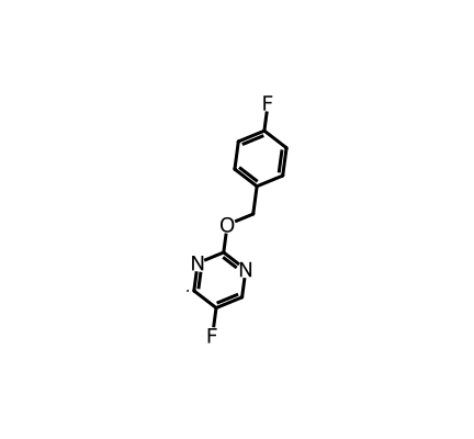 Fc1[c]nc(OCc2ccc(F)cc2)nc1